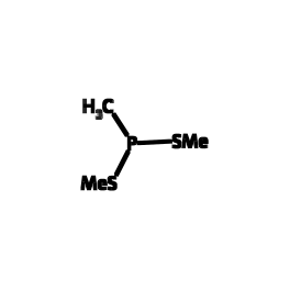 CSP(C)SC